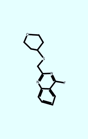 Fc1nc(CSC2CCOCC2)nc2ccccc12